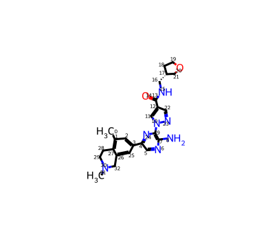 Cc1cc(-c2cnc(N)c(-n3cc(C(=O)NC[C@@H]4CCOC4)cn3)n2)cc2c1CCN(C)C2